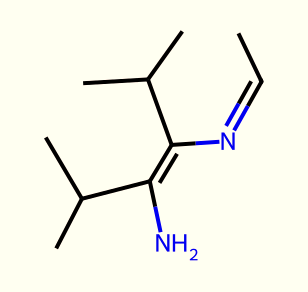 C/C=N\C(=C(/N)C(C)C)C(C)C